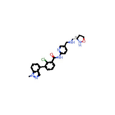 Cn1ncc2c(-c3cccc(C(=O)Nc4ccc(CNC[C@@H]5CCON5)cn4)c3Cl)cccc21